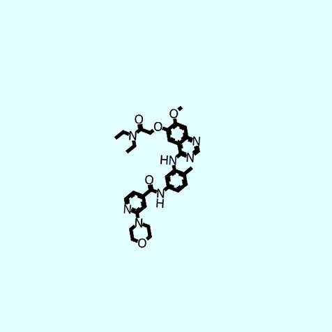 CCN(CC)C(=O)COc1cc2c(Nc3cc(NC(=O)c4ccnc(N5CCOCC5)c4)ccc3C)ncnc2cc1OC